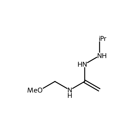 C=C(NCOC)NNC(C)C